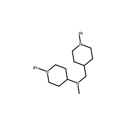 CC(C)N1CCC(CN(C)C2CCN(C(C)C)CC2)CC1